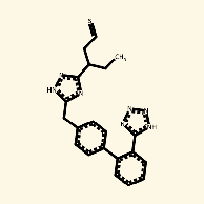 CCC(CC=S)c1n[nH]c(Cc2ccc(-c3ccccc3-c3nnn[nH]3)cc2)n1